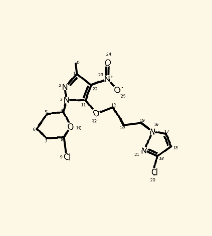 Cc1nn(C2CCCC(Cl)O2)c(OCCCn2ccc(Cl)n2)c1[N+](=O)[O-]